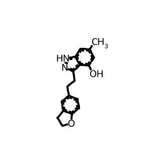 Cc1cc(O)c2c(CCc3ccc4c(c3)CCO4)n[nH]c2c1